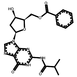 CC(C)C(=O)Nc1nc2c(ncn2[C@H]2C[C@@H](O)[C@@H](COC(=O)c3ccccc3)O2)c(=O)[nH]1